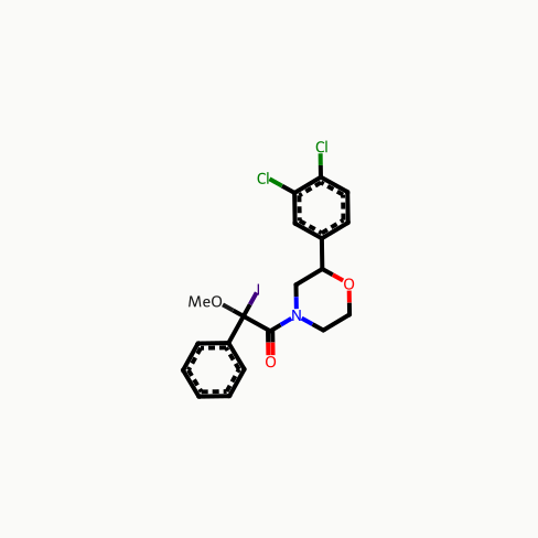 COC(I)(C(=O)N1CCOC(c2ccc(Cl)c(Cl)c2)C1)c1ccccc1